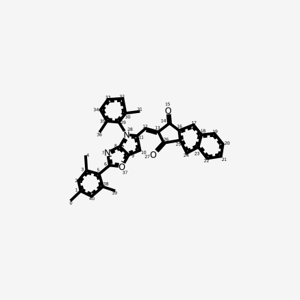 Cc1cc(C)c(-c2nc3c(cc(C=C4C(=O)c5cc6ccccc6cc5C4=O)n3-c3c(C)cccc3C)o2)c(C)c1